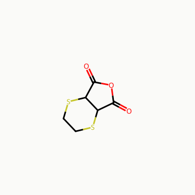 O=C1OC(=O)C2SCCSC12